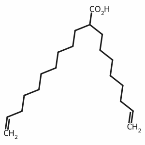 C=CCCCCCCCCC(CCCCCCC=C)C(=O)O